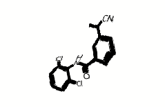 CC(C#N)c1cccc(C(=O)Nc2c(Cl)cccc2Cl)c1